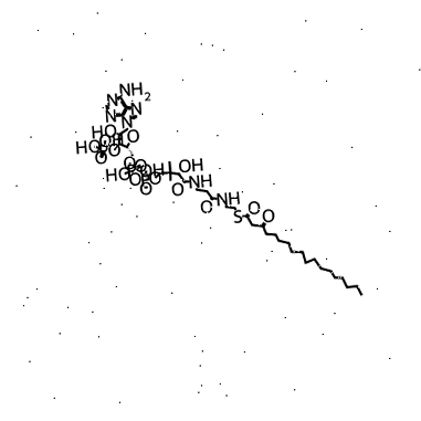 CCCCCCCCCCCCCCCC(=O)CC(=O)SCCNC(=O)CCNC(=O)[C@H](O)C(C)(C)COP(=O)(O)OP(=O)(O)OC[C@H]1O[C@@H](n2cnc3c(N)ncnc32)[C@H](O)[C@@H]1OP(=O)(O)O